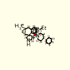 CCC(CC)[C@@H]1C[C@H](c2ccccc2)CCN1C(=O)[C@@H]1CNC[C@]12CO[C@@H](C)Cc1cccc(F)c12